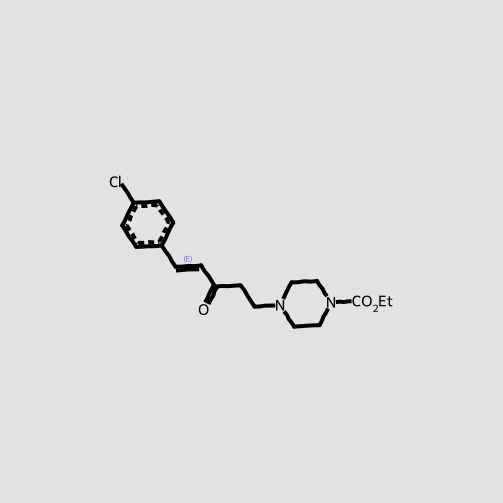 CCOC(=O)N1CCN(CCC(=O)/C=C/c2ccc(Cl)cc2)CC1